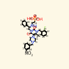 Cc1c(N2CCN(Cc3cccc([N+](=O)[O-])c3)CC2)c(=O)n(C[C@H](NCCP(=O)(O)O)c2ccccc2)c(=O)n1Cc1c(F)cccc1C(F)(F)F